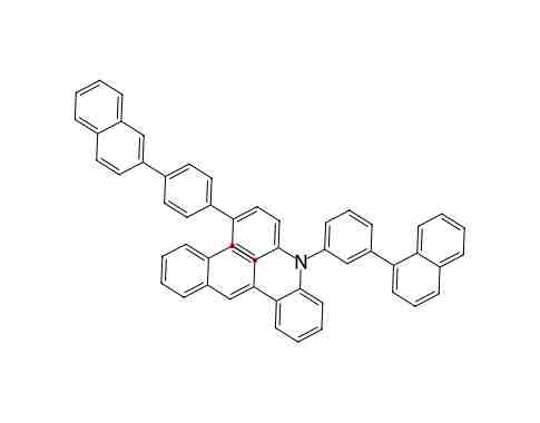 c1cc(-c2cccc3ccccc23)cc(N(c2ccc(-c3ccc(-c4ccc5ccccc5c4)cc3)cc2)c2ccccc2-c2ccc3ccccc3c2)c1